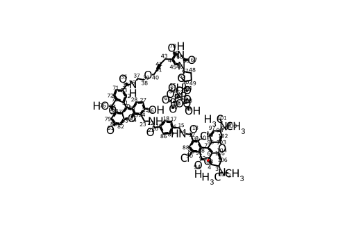 CN(C)C1C=CC2=C(c3c(Cl)c(C(=O)NCc4ccc(C(=O)NCc5c(O)ccc6c(-c7cc(C(=O)NCCOCC#CCc8cn([C@H]9CC[C@@H](COP(OO)(OOO)(P(=O)=O)P(=O)=O)O9)c(=O)[nH]c8=O)ccc7C(=O)O)c7ccc(=O)cc-7oc56)cc4)cc(Cl)c3C(=O)O)C3C=CC(=[N+](C)C)C=C3OC2=C1